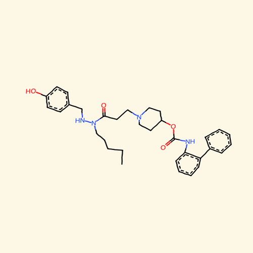 CCCCCN(NCc1ccc(O)cc1)C(=O)CCN1CCC(OC(=O)Nc2ccccc2-c2ccccc2)CC1